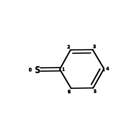 S=C1C=C[C]=CC1